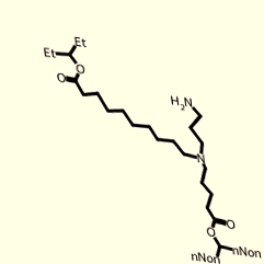 CCCCCCCCCC(CCCCCCCCC)OC(=O)CCCCN(CCCN)CCCCCCCCCC(=O)OC(CC)CC